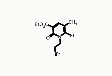 CCOC(=O)c1cc(C)c(CC)n(CCC(C)C)c1=O